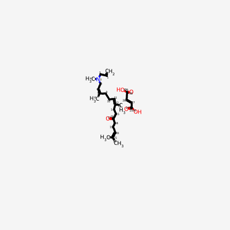 C=CCN(C)CC=C(C)CCC=C(C)CCC(=O)CCC=C(C)C.O=C(O)C=CC(=O)O